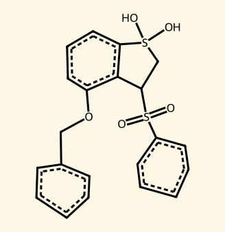 O=S(=O)(c1ccccc1)C1CS(O)(O)c2cccc(OCc3ccccc3)c21